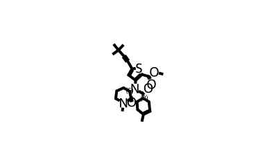 COC(=O)c1sc(C#CC(C)(C)C)cc1N(C(=O)[C@H]1CC=C(C)CC1)[C@H]1CCCN(C)C1=O